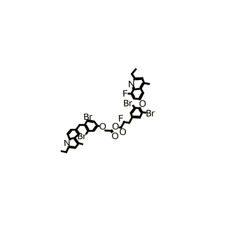 CCc1cc(C)c2cc(Cc3c(Br)cc(OCC(=O)OC(=O)C(F)Cc4cc(Br)c(Oc5cc(F)c6nc(CC)cc(C)c6c5)c(Br)c4)cc3Br)ccc2n1